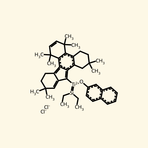 CC[Si](CC)=[Ti+2]([O]c1ccc2ccccc2c1)[C]1=c2c3c(c4c(c2=C2CCC(C)(C)C=C12)C(C)(C)C=CC4(C)C)CCC(C)(C)C3.[Cl-].[Cl-]